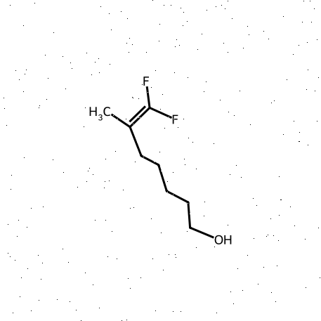 CC(CCCCCO)=C(F)F